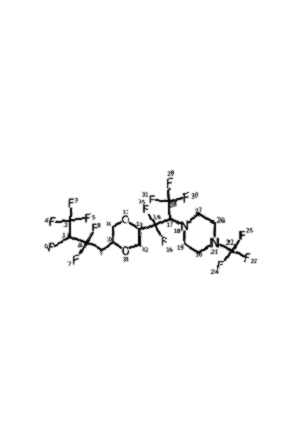 FC(C(F)(F)F)C(F)(F)CC1COC(C(F)(F)C(N2CCN(C(F)(F)F)CC2)C(F)(F)F)CO1